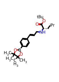 CC(C)C[C@H](NC/C=C/c1ccc(B2OC(C)(C)C(C)(C)O2)cc1)C(=O)OC(C)(C)C